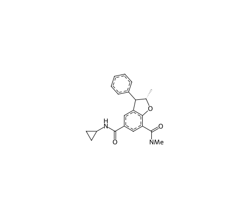 CNC(=O)c1cc(C(=O)NC2CC2)cc2c1O[C@@H](C)C2c1ccccc1